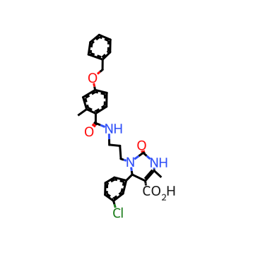 CC1=C(C(=O)O)C(c2cccc(Cl)c2)N(CCCNC(=O)c2ccc(OCc3ccccc3)cc2C)C(=O)N1